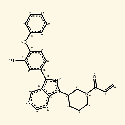 C=CC(=O)N1CCCC(n2nc(-c3ccc(Oc4ccccc4)c(F)c3)c3cncnc32)C1